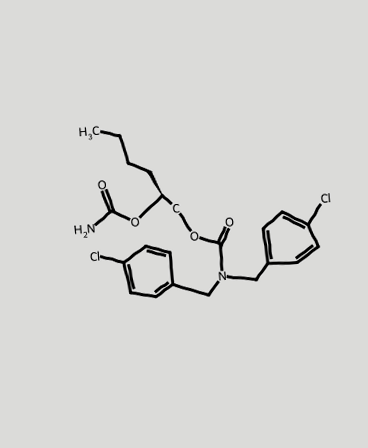 CCCC[C@@H](COC(=O)N(Cc1ccc(Cl)cc1)Cc1ccc(Cl)cc1)OC(N)=O